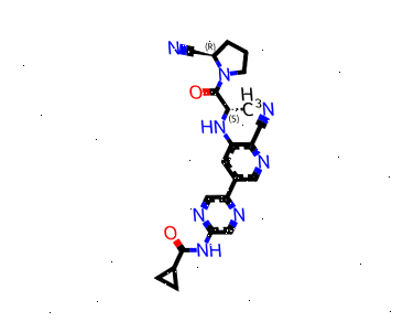 C[C@H](Nc1cc(-c2cnc(NC(=O)C3CC3)cn2)cnc1C#N)C(=O)N1CCC[C@@H]1C#N